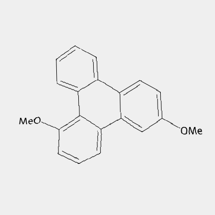 COc1ccc2c3ccccc3c3c(OC)cccc3c2c1